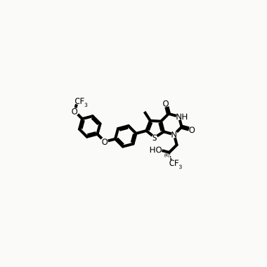 Cc1c(-c2ccc(Oc3ccc(OC(F)(F)F)cc3)cc2)sc2c1c(=O)[nH]c(=O)n2C[C@@H](O)C(F)(F)F